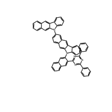 c1ccc(-c2nc(-c3ccccc3)nc(-c3cc4ccccc4cc3-n3c4ccccc4c4cc5cc(-n6c7ccccc7c7cc8ccccc8cc76)ccc5cc43)n2)cc1